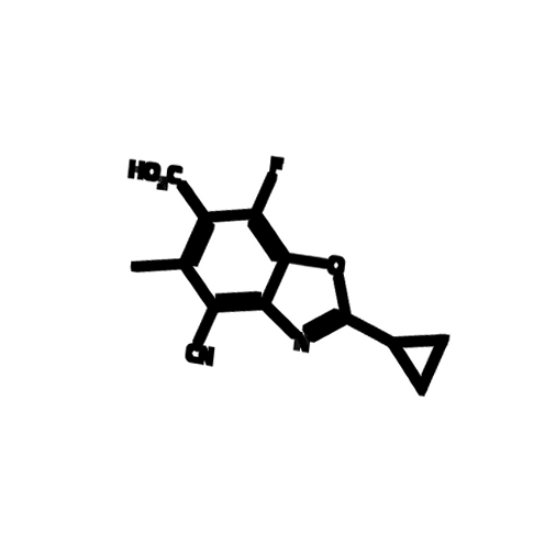 Cc1c(C(=O)O)c(F)c2oc(C3CC3)nc2c1C#N